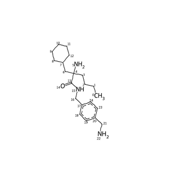 CCCCC(N)(CC1CCCCC1)C(=O)NCc1ccc(CN)cc1